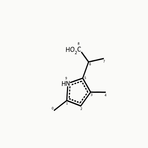 Cc1cc(C)c(C(C)C(=O)O)[nH]1